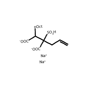 C=CCC(C(=O)[O-])(C(CCCCCCCC)C(=O)[O-])S(=O)(=O)O.[Na+].[Na+]